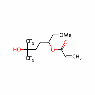 C=CC(=O)OC(CCC(O)(C(F)(F)F)C(F)(F)F)COC